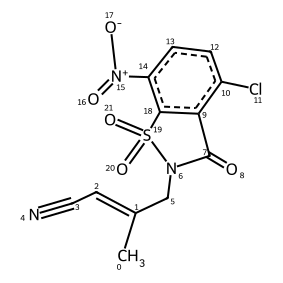 CC(=CC#N)CN1C(=O)c2c(Cl)ccc([N+](=O)[O-])c2S1(=O)=O